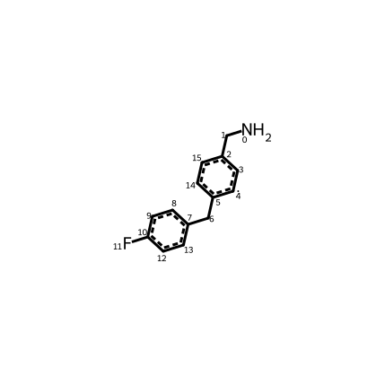 NCc1c[c]c(Cc2ccc(F)cc2)cc1